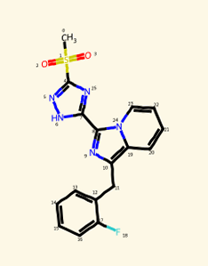 CS(=O)(=O)c1n[nH]c(-c2nc(Cc3ccccc3F)c3ccccn23)n1